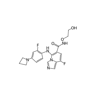 O=C(NOCCO)c1cc(F)c2cncn2c1Nc1ccc(N2CCC2)cc1F